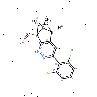 CC1(C)[C@H]2CC[C@]1(C=O)c1nnc(-c3c(F)cccc3F)cc12